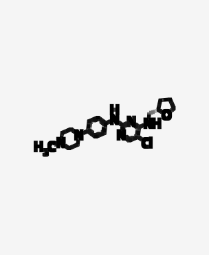 CN1CCN(c2ccc(Nc3ncc(Cl)c(NC[C@@H]4CCCO4)n3)cc2)CC1